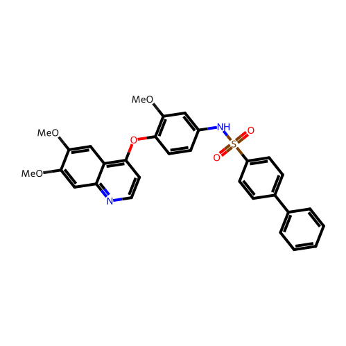 COc1cc2nccc(Oc3ccc(NS(=O)(=O)c4ccc(-c5ccccc5)cc4)cc3OC)c2cc1OC